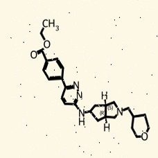 CCOC(=O)c1ccc(-c2ccc(NC3C[C@@H]4CN(CC5CCOCC5)C[C@@H]4C3)nn2)cc1